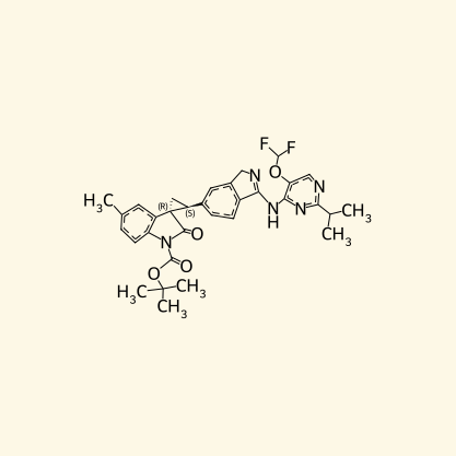 Cc1ccc2c(c1)[C@]1(C[C@H]1c1ccc3c(c1)CN=C3Nc1nc(C(C)C)ncc1OC(F)F)C(=O)N2C(=O)OC(C)(C)C